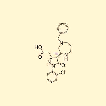 O=C(O)CC1=NN(c2ccccc2Cl)C(=O)/C1=C1/CN(Cc2ccccc2)CCCN1